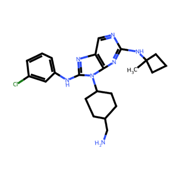 CC1(Nc2ncc3nc(Nc4cccc(Cl)c4)n(C4CCC(CN)CC4)c3n2)CCC1